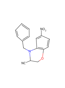 N#CC1COc2ccc([N+](=O)[O-])cc2N1Cc1ccccc1